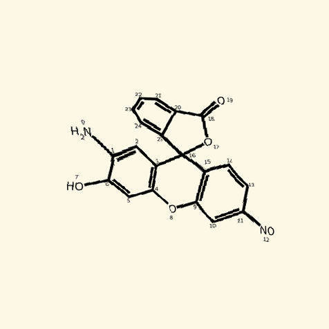 Nc1cc2c(cc1O)Oc1cc(N=O)ccc1C21OC(=O)c2ccccc21